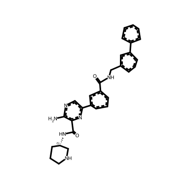 Nc1ncc(-c2cccc(C(=O)NCc3cccc(-c4ccccc4)c3)c2)nc1C(=O)N[C@H]1CCCNC1